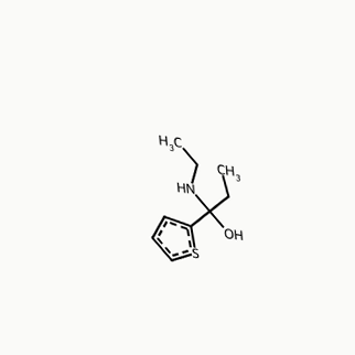 CCNC(O)(CC)c1cccs1